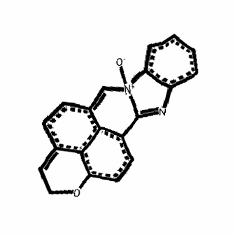 [O-][N+]12C=c3ccc4c5c(ccc(c35)C1=Nc1ccccc12)OCC=4